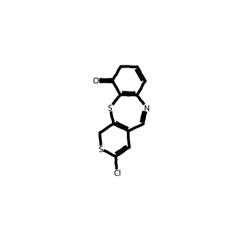 O=C1CC=CC2=C1SC1=C(C=N2)C=C(Cl)SC1